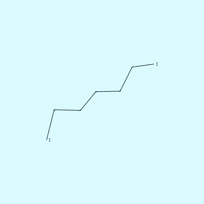 [CH]CCCCC[CH]